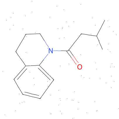 CC(C)CC(=O)N1CCCc2ccccc21